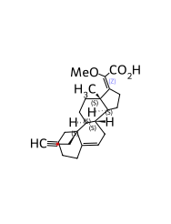 C#CC[C@]12CCCCC1=CC[C@@H]1[C@@H]2CC[C@]2(C)/C(=C(\OC)C(=O)O)CC[C@@H]12